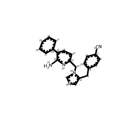 N#Cc1ccc(Cc2cncn2Cc2ccc(-c3ccccc3)c(N)n2)cc1